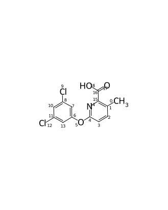 Cc1ccc(Oc2cc(Cl)cc(Cl)c2)nc1C(=O)O